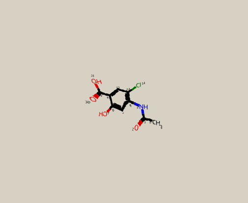 CC(=O)Nc1cc(O)c(C(=O)O)cc1Cl